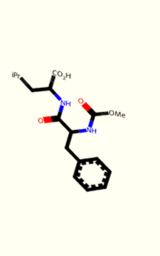 COC(=O)NC(Cc1ccccc1)C(=O)NC(CC(C)C)C(=O)O